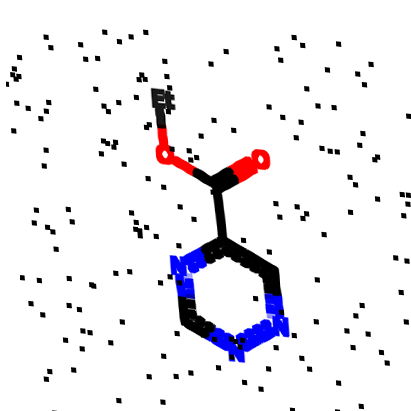 CCOC(=O)c1cnncn1